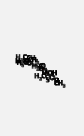 COc1ccc(C2(C)CSc3cc(OC)ccc3C2(O)C#CCOCCCCCO[Si](C)(C)C(C)(C)C)cc1